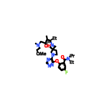 CC[C@H](C(C)[C@@H](O)CN(C)CCOC)N1CC2(CCN(c3ncnnc3Oc3ccc(F)cc3C(=O)N(CC)C(C)C)C2)C1